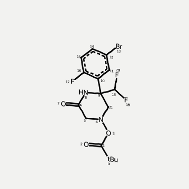 CC(C)(C)C(=O)ON1CC(=O)NC(c2cc(Br)ccc2F)(C(F)F)C1